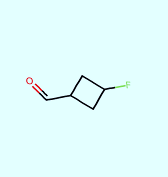 O=CC1CC(F)C1